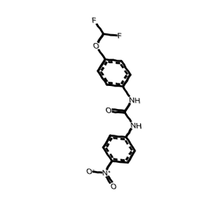 O=C(Nc1ccc(OC(F)F)cc1)Nc1ccc([N+](=O)[O-])cc1